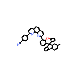 CC1C=CC2=C(C1)C1(c3ccccc3Oc3c(-c4ccc5ccc6ccc(-c7ccc(C#N)cc7)nc6c5n4)cccc31)c1ccccc12